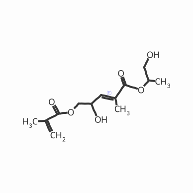 C=C(C)C(=O)OCC(O)/C=C(\C)C(=O)OC(C)CO